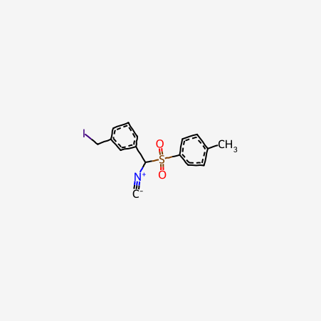 [C-]#[N+]C(c1cccc(CI)c1)S(=O)(=O)c1ccc(C)cc1